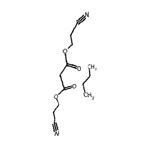 CCCC.N#CCCOC(=O)CC(=O)OCCC#N